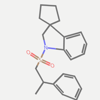 CC(CS(=O)(=O)N1CC2(CCCC2)c2ccccc21)c1ccccc1